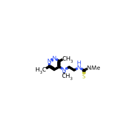 CNC(=S)NCCN(C)c1cc(C)nnc1C